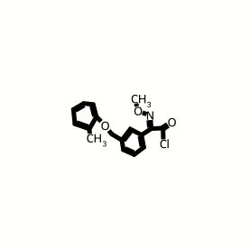 CO/N=C(/C(=O)Cl)c1cccc(COc2ccccc2C)c1